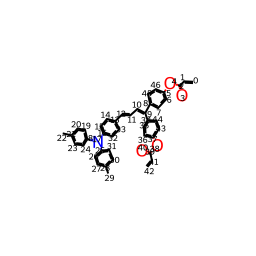 C=CC(=O)Oc1ccc(C(=CC=Cc2ccc(N(c3ccc(C)cc3)c3ccc(C)cc3)cc2)c2ccc(OC(=O)C=C)cc2)cc1